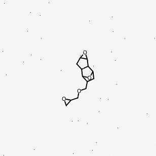 C(OCC1CC2OC1C1CC3OC3C21)C1CO1